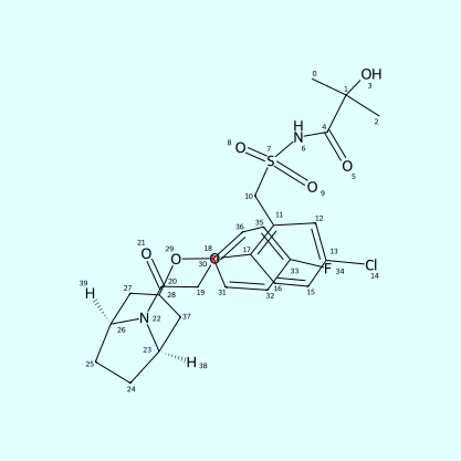 CC(C)(O)C(=O)NS(=O)(=O)Cc1cc(Cl)ccc1OCC(=O)N1[C@@H]2CC[C@H]1CC(Oc1ccc(F)cc1)C2